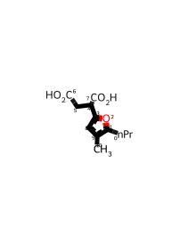 CCCc1oc(C(CC(=O)O)C(=O)O)cc1C